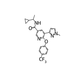 CC(NC(=O)c1cnc(Oc2ccc(C(F)(F)F)cc2)c(-c2ccn(C)n2)c1)C1CC1